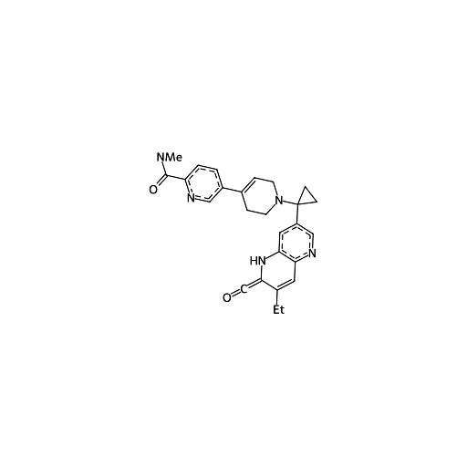 CCC1=Cc2ncc(C3(N4CC=C(c5ccc(C(=O)NC)nc5)CC4)CC3)cc2NC1=C=O